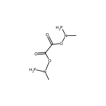 CN(P)OC(=O)C(=O)ON(C)P